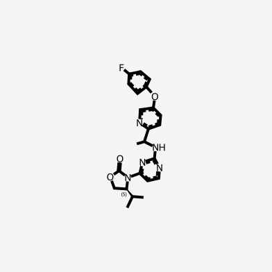 CC(Nc1nccc(N2C(=O)OC[C@@H]2C(C)C)n1)c1ccc(Oc2ccc(F)cc2)cn1